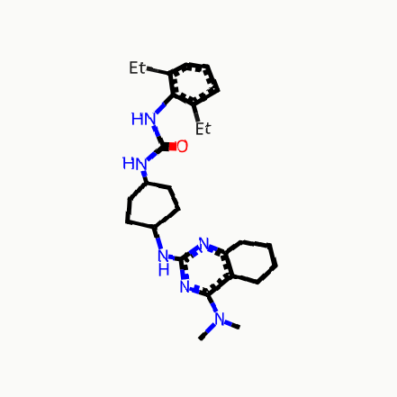 CCc1cccc(CC)c1NC(=O)NC1CCC(Nc2nc3c(c(N(C)C)n2)CCCC3)CC1